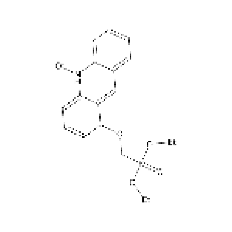 CCOP(=O)(COC1C=CC=C2C1=Cc1ccccc1[NH+]2[O-])OCC